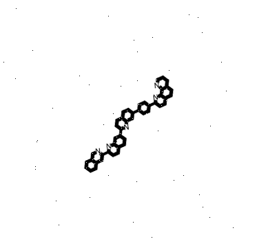 c1ccc2cc(-c3ccc4ccc(-c5ccc6ccc(-c7ccc(-c8ccc9ccc%10cccnc%10c9n8)cc7)cc6n5)cc4n3)ncc2c1